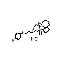 Cl.Fc1ccc(OCCCN2CC[C@H]3[C@@H](C2)c2cccc4c2N3CCCS4)cc1